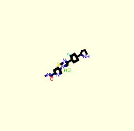 CNC(=O)c1cc2sc3nc(-c4ccc(C5CCCN5)cc4F)cn3c2cn1.Cl